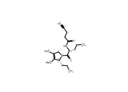 C#CCCC(=O)N[C@H](CCC(Cl)(Cl)Cl)C(=O)N1CC(C=O)=C(OC)[C@H]1CCC(Cl)(Cl)Cl